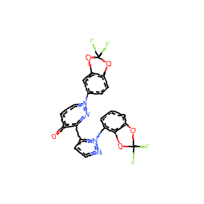 O=c1ccn(-c2ccc3c(c2)OC(F)(F)O3)nc1-c1ccnn1-c1cccc2c1OC(F)(F)O2